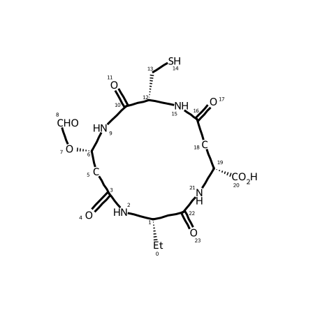 CC[C@@H]1NC(=O)C[C@H](OC=O)NC(=O)[C@H](CS)NC(=O)C[C@H](C(=O)O)NC1=O